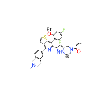 C=CC(=O)N1Cc2cc(-c3nc(-c4ccc5c(c4)CCN(C)C5)c4ccsc4c3-c3c(F)cc(F)cc3OCC)nn2[C@@H](C)C1